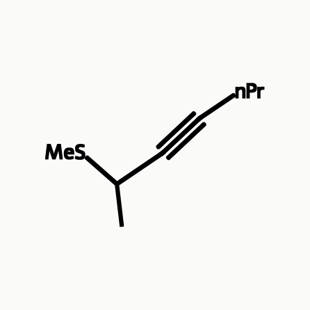 [CH2]CCC#CC(C)SC